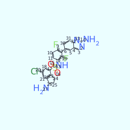 Nc1ncc2cc(-c3c(F)ccc(NS(=O)(=O)c4cc(Cl)cc5c4CCC5N)c3F)ccc2n1